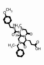 COc1ccc(CNC(=O)N2[C@H]3CN([C@@H](C)c4ccccc4)C(=O)[C@H](CCC(=O)O)N3C(=O)CN2C)cc1